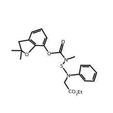 CCOC(=O)CN(SN(C)C(=O)Oc1cccc2c1OC(C)(C)C2)c1ccccc1